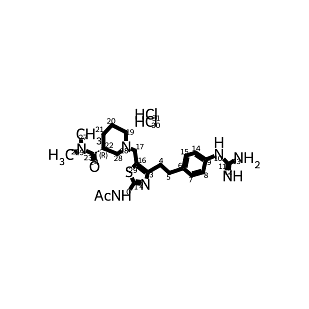 CC(=O)Nc1nc(CCc2ccc(NC(=N)N)cc2)c(CN2CCC[C@@H](C(=O)N(C)C)C2)s1.Cl.Cl